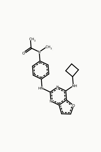 CC(=O)N(C)c1ccc(Nc2nc(NC3CCC3)c3occc3n2)cc1